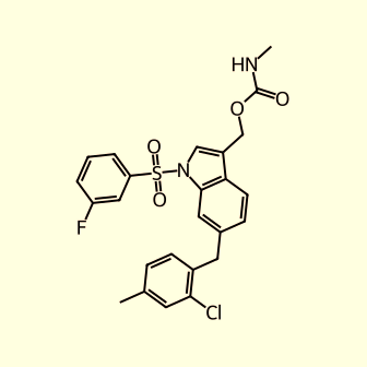 CNC(=O)OCc1cn(S(=O)(=O)c2cccc(F)c2)c2cc(Cc3ccc(C)cc3Cl)ccc12